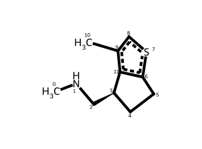 CNC[C@@H]1CCc2scc(C)c21